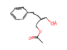 CC(=O)OCC(CO)Cc1ccccc1